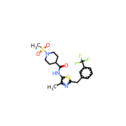 Cc1nc(Cc2cccc(C(F)(F)F)c2)sc1NC(=O)C1CCN(S(C)(=O)=O)CC1